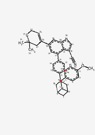 COc1ccc(CN2C3CC2CN(c2ccc(-c4cc(C5=CCOC(C)(C)C5)cn5ncc(C#N)c45)cn2)C3)cn1